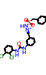 O=C(Nc1cccc(C#[N+]NS(=O)(=O)Cc2ccccc2)c1)Nc1cccc(Cl)c1Cl